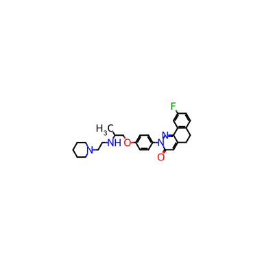 CC(COc1ccc(-n2nc3c(cc2=O)CCc2ccc(F)cc2-3)cc1)NCCN1CCCCC1